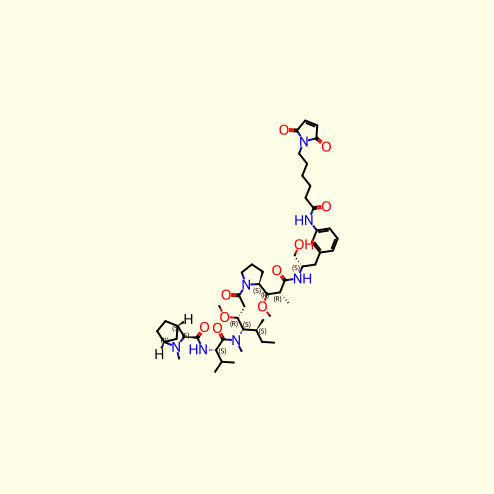 CC[C@H](C)[C@@H]([C@@H](CC(=O)N1CCC[C@H]1[C@H](OC)[C@@H](C)C(=O)N[C@H](CO)Cc1cccc(NC(=O)CCCCCN2C(=O)C=CC2=O)c1)OC)N(C)C(=O)[C@@H](NC(=O)[C@@H]1[C@H]2CC[C@H](C2)N1C)C(C)C